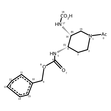 CC(=O)N1CC[C@H](NC(=O)OCc2ccccc2)[C@H](NC(=O)O)C1